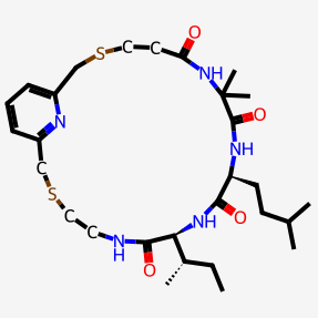 CC[C@H](C)[C@@H]1NC(=O)[C@H](CCC(C)C)NC(=O)C(C)(C)NC(=O)CCSCc2cccc(n2)CSCCNC1=O